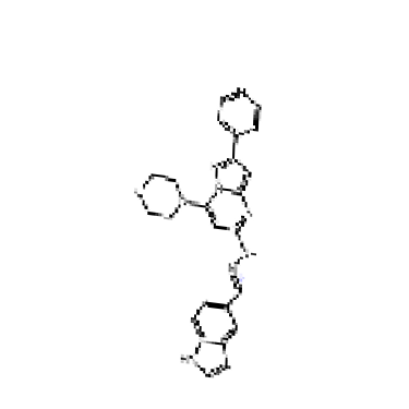 C(=N\Nc1cc(N2CCOCC2)n2nc(-c3ccncc3)cc2n1)/c1ccc2[nH]ccc2c1